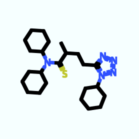 CC(CCc1nnnn1C1CCCCC1)C(=S)N(C1CCCCC1)C1CCCCC1